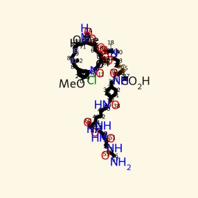 COc1cc2cc(c1Cl)N(C)C(=O)C[C@H](OC(=O)[C@H](C)N(C)C(=O)CCS[C@H](CC(=O)O)C(=O)NCC1CCC(C(=O)NCCCCC(NC(=O)CNC(=O)CNC(=O)CN)C(N)=O)CC1)C1(C)CC(C)(O1)C1CC(NC(=O)O1)[C@H](OC)/C=C/C=C(\C)C2